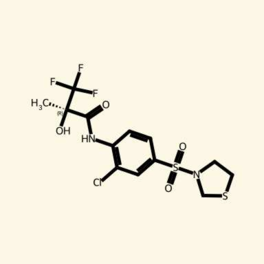 C[C@@](O)(C(=O)Nc1ccc(S(=O)(=O)N2CCSC2)cc1Cl)C(F)(F)F